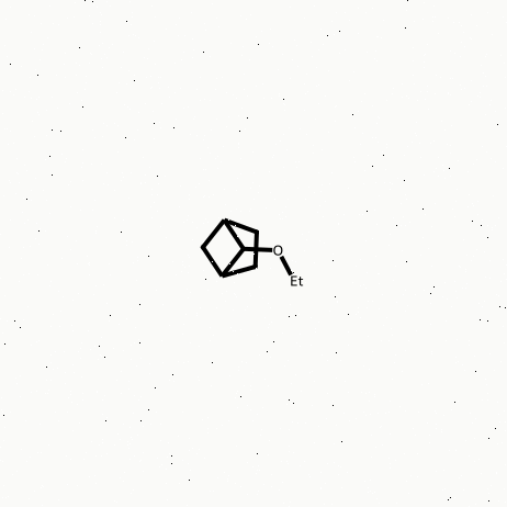 CCOC1C2CCC1C2